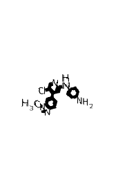 Cn1cnc2ccc(-c3cc(NC4CCC(N)CC4)ncc3Cl)cc21